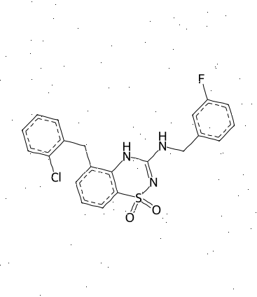 O=S1(=O)N=C(NCc2cccc(F)c2)Nc2c(Cc3ccccc3Cl)cccc21